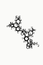 Cn1cc(-c2ccc(-c3nnc(-c4ccc(C(CO)S(N)(=O)=O)cc4N4CCC5(CC4)CC5)o3)nc2N2CCC(F)(F)CC2)cn1